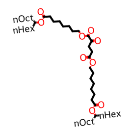 CCCCCCCCC(CCCCCC)OC(=O)CCCCCCCOC(=O)CCC(=O)C(=O)OCCCCCCCC(=O)OC(CCCCCC)CCCCCCCC